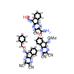 CO/N=C1\c2ccccc2-c2nc(C#N)c(C#N)nc21.N#Cc1nc2c(nc1C#N)-c1ccccc1/C2=N\OCc1ccccc1.N#Cc1nc2c(nc1C(N)=O)-c1ccccc1/C2=N\O